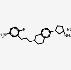 Bc1ccc(F)c(CCC[C@@H]2CCc3cc([C@H]4CC[C@](N)(CC)C4)ccc3C2)c1